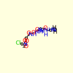 CC(C)[C@H](C(=O)N1CCC2(CC1)Oc1ccc(C#CC(=O)NCCOCCNC(=O)Cn3ccc4cc(C(=O)NCCc5ccc(N6C[C@H]7CC[C@@H](C6)N7)cc5)cnc43)cc1O2)c1ccc(Cl)cc1